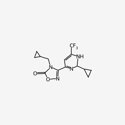 O=c1onc(C2=NC(C3CC3)NC(C(F)(F)F)=C2)n1CC1CC1